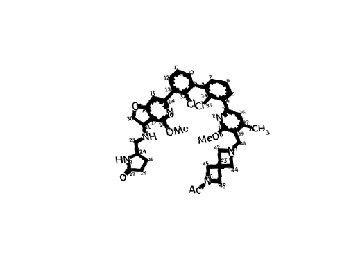 COc1nc(-c2cccc(-c3cccc(-c4cc5c(c(OC)n4)C(NCC4CCC(=O)N4)CO5)c3Cl)c2Cl)cc(C)c1CN1CC2(C1)CN(C(C)=O)C2